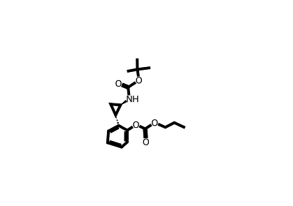 CCCOC(=O)Oc1ccccc1[C@@H]1C[C@H]1NC(=O)OC(C)(C)C